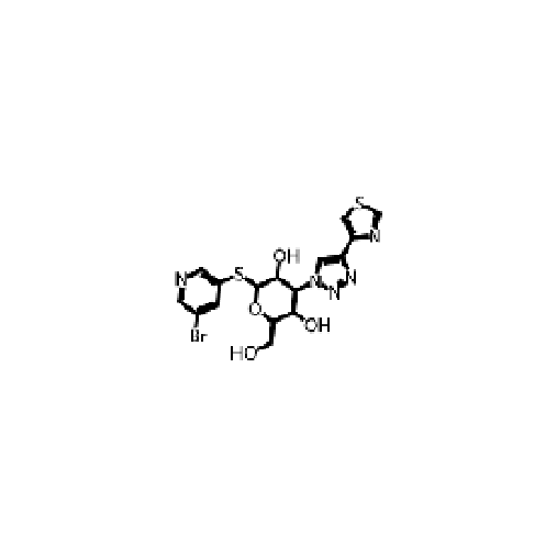 OCC1OC(Sc2cncc(Br)c2)C(O)C(n2cc(-c3cscn3)nn2)C1O